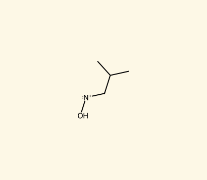 CC(C)C[N+]O